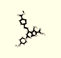 COC(=O)c1ccc(/C=C/c2cc(N3CCC(N)CC3)nc3sc(C(N)=O)c(N)c23)cc1